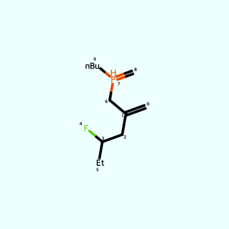 C=C(CC(F)CC)C[PH](=C)CCCC